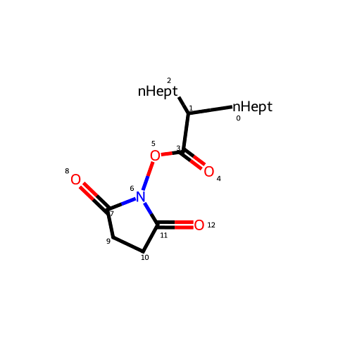 CCCCCCCC(CCCCCCC)C(=O)ON1C(=O)CCC1=O